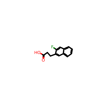 O=C(O)CCc1cc2ccccc2cc1F